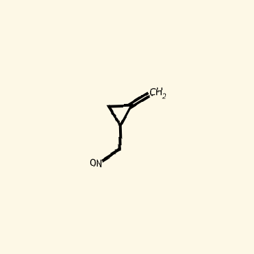 C=C1CC1CN=O